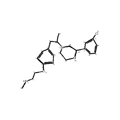 CNCCOc1ccc(CC(C)N2CCOC(c3cccc(Cl)c3)C2)cc1